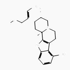 CC[C@@H]1CN2CCc3c([nH]c4cccc(OC)c34)[C@@H]2C[C@@H]1/C(=C\OC)COC=O